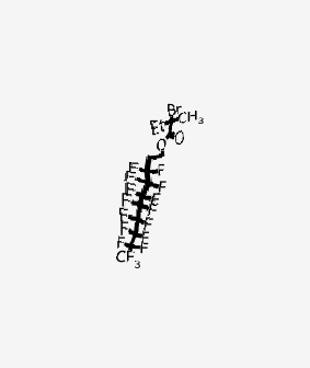 CCC(C)(Br)C(=O)OCCC(F)(F)C(F)(F)C(F)(F)C(F)(F)C(F)(F)C(F)(F)C(F)(F)C(F)(F)F